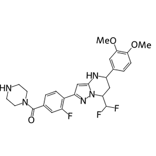 COc1ccc(C2CC(C(F)F)n3nc(-c4ccc(C(=O)N5CCNCC5)cc4F)cc3N2)cc1OC